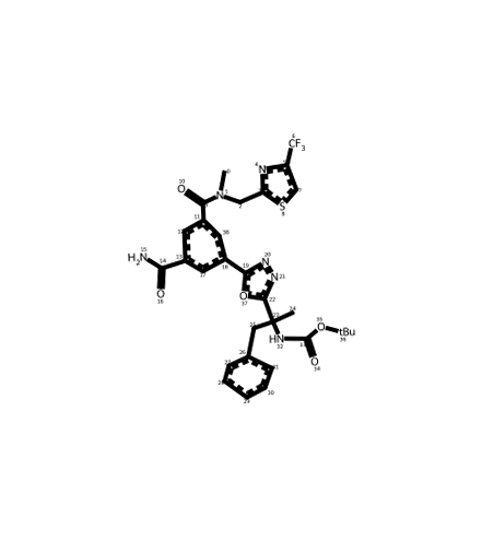 CN(Cc1nc(C(F)(F)F)cs1)C(=O)c1cc(C(N)=O)cc(-c2nnc(C(C)(Cc3ccccc3)NC(=O)OC(C)(C)C)o2)c1